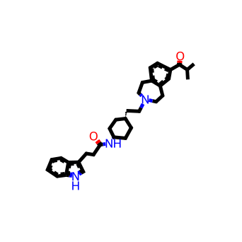 CC(C)C(=O)c1ccc2c(c1)CCN(CC[C@H]1CC[C@H](NC(=O)CCc3c[nH]c4ccccc34)CC1)CC2